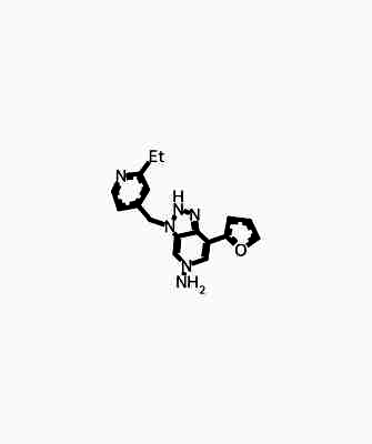 CCc1cc(CN2NN=C3C(c4ccco4)=CN(N)C=C32)ccn1